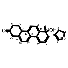 C1=COCC1.CC1(O)C=CC=c2c1ccc1c2=CC=C2CC(=O)CCC21